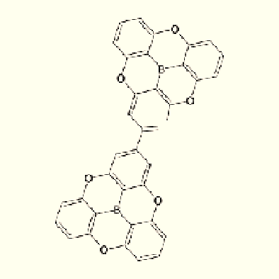 C=C(/C=C1/Oc2cccc3c2B2C1=C(C)Oc1cccc(c12)O3)c1cc2c3c(c1)Oc1cccc4c1B3c1c(cccc1O2)O4